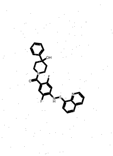 O=C(c1cc(F)c(NSc2cccc3cccnc23)cc1F)N1CCC(O)(c2ccccc2)CC1